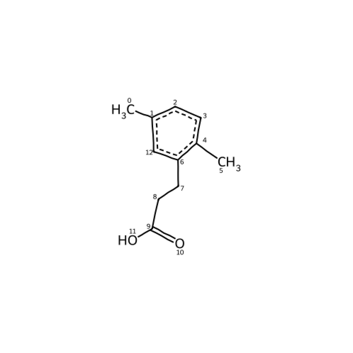 Cc1ccc(C)c(CCC(=O)O)c1